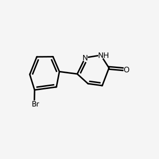 O=c1ccc(-c2cccc(Br)c2)n[nH]1